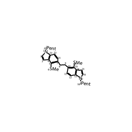 CCCC(C)n1ccc2c(SC)c(CCc3ccc4c(ccn4C(C)CCC)c3SC)ccc21